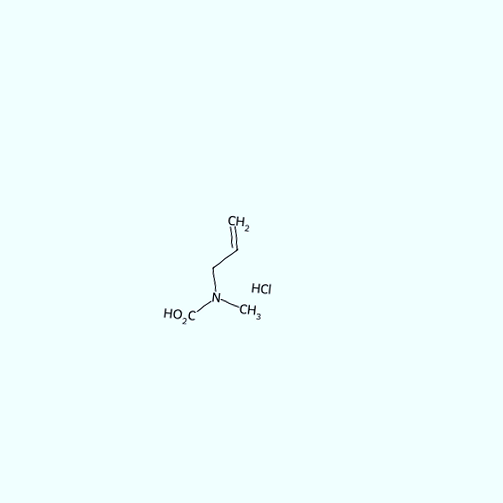 C=CCN(C)C(=O)O.Cl